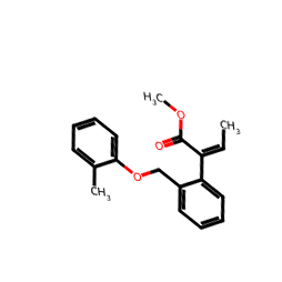 CC=C(C(=O)OC)c1ccccc1COc1ccccc1C